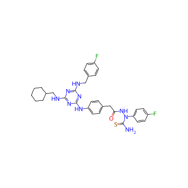 NC(=S)N(NC(=O)Cc1ccc(Nc2nc(NCc3ccc(F)cc3)nc(NCC3CCCCC3)n2)cc1)c1ccc(F)cc1